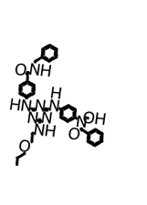 CCCOCCNc1nc(Nc2ccc(C(=O)NCc3ccccc3)cc2)nc(Nc2ccc(N(O)C(=O)c3ccccc3)cc2)n1